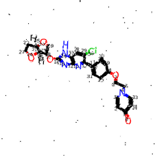 O=c1ccn(CCOc2ccc(-c3nc4nc(OC5CO[C@@H]6CCO[C@H]56)[nH]c4cc3Cl)cc2)cc1